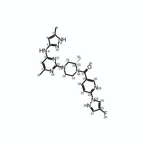 Cc1cc(Nc2cc(C)[nH]n2)nc(N2CCN(C(=O)c3ccc(-n4cc(F)cn4)nc3)[C@@H](C)C2)n1